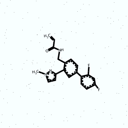 C=CC(=O)NCc1ccc(-c2ccc(F)cc2F)cc1-c1ccn(C)n1